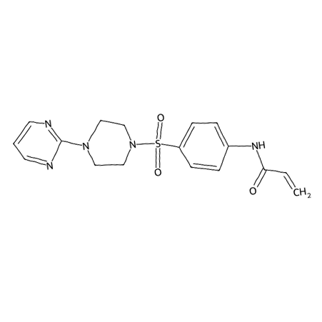 C=CC(=O)Nc1ccc(S(=O)(=O)N2CCN(c3ncccn3)CC2)cc1